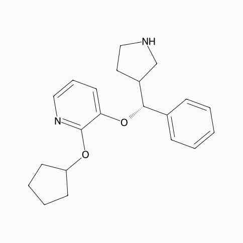 c1ccc([C@H](Oc2cccnc2OC2CCCC2)C2CCNC2)cc1